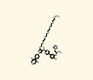 COCCOCCOCCOCCOCCOCCOc1nn([C@H]2CC[C@H](N3[C@@H]4CC[C@H]3COC4)CC2)cc1Nc1ncc(-c2ccc(Cl)c(O[C@@H](C)Cn3cnnn3)c2)cn1